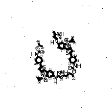 Cc1cc(Nc2ccc(-c3ccc(C4CCC(NC(=O)OC(C)CCc5cc(Nc6ccc(-c7ccc(C8CCC(NC(=O)OC(C)C)CC8)s7)c(S(=O)(=O)C7CC7)c6)n[nH]5)CC4)s3)c(S(=O)(=O)C3CC3)c2)n[nH]1